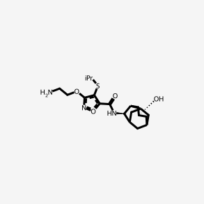 CC(C)Sc1c(OCCN)noc1C(=O)N[C@@H]1C2CC3CC(C2)C1C[C@@H](O)C3